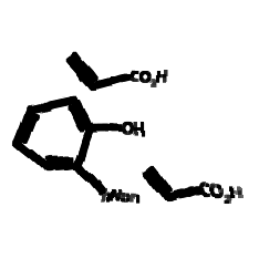 C=CC(=O)O.C=CC(=O)O.CCCCCCCCCc1ccccc1O